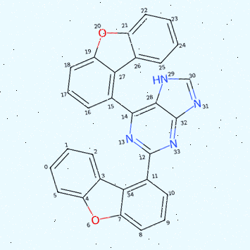 c1ccc2c(c1)oc1cccc(-c3nc(-c4cccc5oc6ccccc6c45)c4[nH]cnc4n3)c12